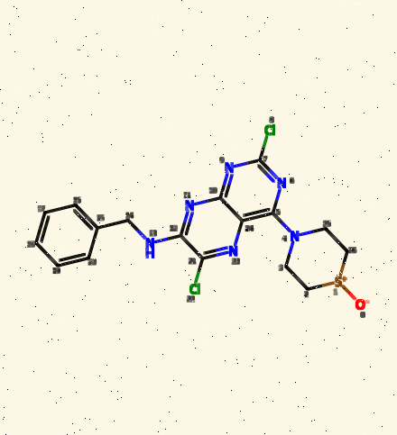 [O-][S+]1CCN(c2nc(Cl)nc3nc(NCc4ccccc4)c(Cl)nc23)CC1